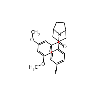 COc1cc(OC)cc(C(=O)N2C3CCC2CC(c2ccc(F)cc2)C3)c1